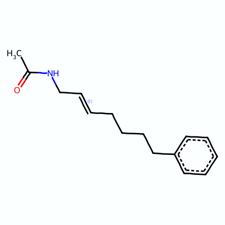 CC(=O)NC/C=C/CCCCc1ccccc1